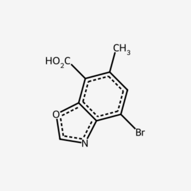 Cc1cc(Br)c2ncoc2c1C(=O)O